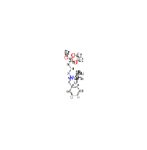 CCO[Si](CCCN(Cc1ccccc1)[Si](C)(C)C(C)(C)C)(OCC)OCC